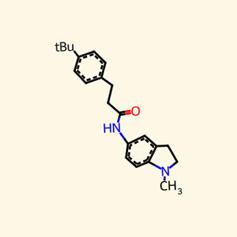 CN1CCc2cc(NC(=O)CCc3ccc(C(C)(C)C)cc3)ccc21